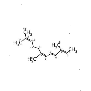 C/C=C(C)/C=C/C=C(/C)CCC=C(C)C